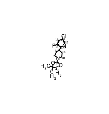 CC(C)(C)OC(=O)N1CCC(c2ncc(Cl)cc2F)CC1